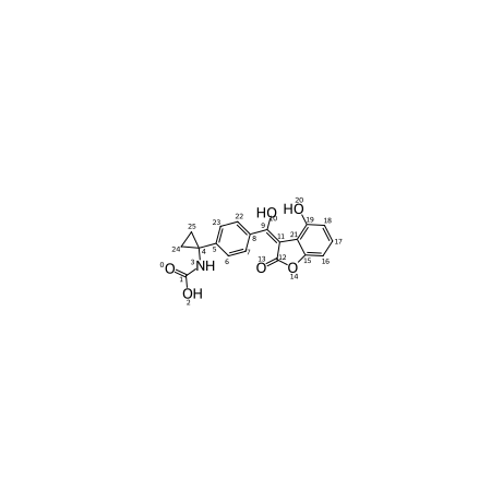 O=C(O)NC1(c2ccc(C(O)=C3C(=O)Oc4cccc(O)c43)cc2)CC1